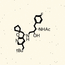 CC(=O)N[C@@H](Cc1ccc(F)cc1)[C@@H](O)CN[C@H]1CC2(CCCC2)Oc2ncc(CC(C)(C)C)cc21